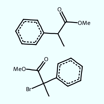 COC(=O)C(C)(Br)c1ccccc1.COC(=O)C(C)c1ccccc1